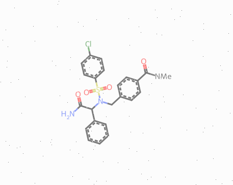 CNC(=O)c1ccc(CN(C(C(N)=O)c2ccccc2)S(=O)(=O)c2ccc(Cl)cc2)cc1